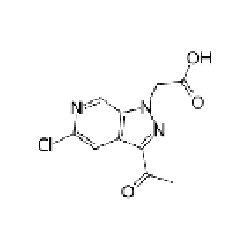 CC(=O)c1nn(CC(=O)O)c2cnc(Cl)cc12